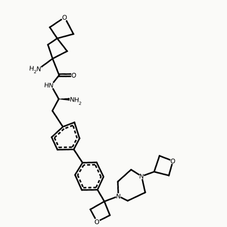 N[C@@H](Cc1ccc(-c2ccc(C3(N4CCN(C5COC5)CC4)COC3)cc2)cc1)NC(=O)C1(N)CC2(COC2)C1